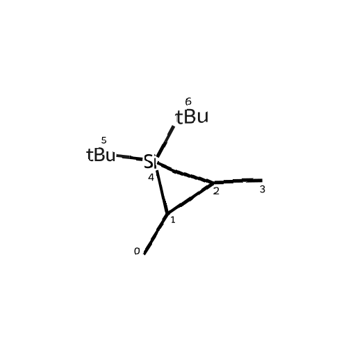 CC1C(C)[Si]1(C(C)(C)C)C(C)(C)C